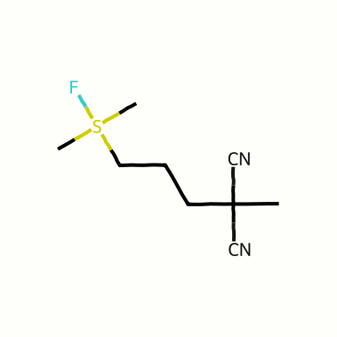 CC(C#N)(C#N)CCCS(C)(C)F